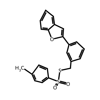 Cc1ccc(S(=O)(=O)SCc2cccc(-c3cc4ccccc4o3)c2)cc1